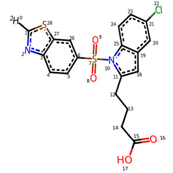 [2H]c1nc2ccc(S(=O)(=O)n3c(CCCC(=O)O)cc4cc(Cl)ccc43)cc2s1